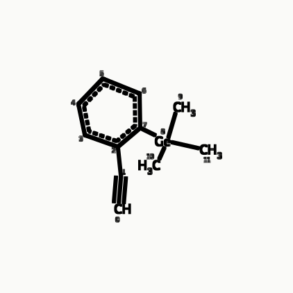 C#Cc1cccc[c]1[Ge]([CH3])([CH3])[CH3]